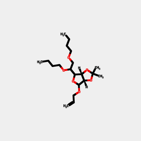 C=CCOC1OC(C(COCCCC)OCCCC)[C@@H]2OC(C)(C)O[C@H]12